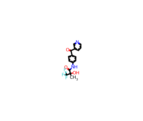 CC(O)(C(=O)Nc1ccc(C(=O)c2cccnc2)cc1)C(F)(F)F